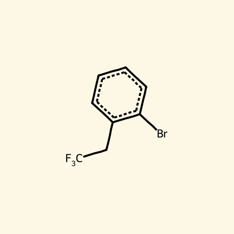 FC(F)(F)Cc1ccccc1Br